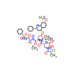 C=C[C@@H]1C[C@]1(NC(=O)[C@@H]1C[C@@H](Oc2cc(-c3ccccc3)nc3cc(OC)ccc23)CN1C(=O)[C@H](CNC(=O)[C@H](C)Cl)N(C(=O)O)C(C)(C)C)C(=O)NS(=O)(=O)c1ccccc1